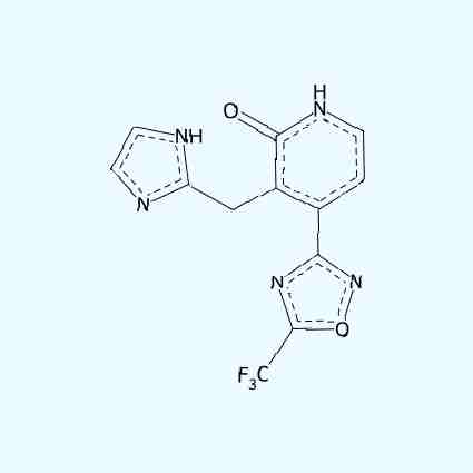 O=c1[nH]ccc(-c2noc(C(F)(F)F)n2)c1Cc1ncc[nH]1